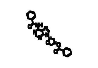 O=C(Nc1ncnc2c1ncn2[C@@H]1C[C@H](OC(=O)c2ccccc2)CO1)c1ccccc1